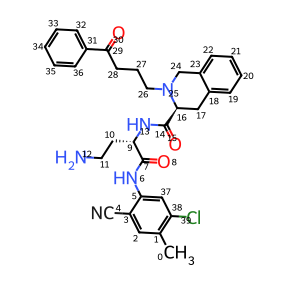 Cc1cc(C#N)c(NC(=O)[C@H](CCN)NC(=O)[C@@H]2Cc3ccccc3CN2CCCC(=O)c2ccccc2)cc1Cl